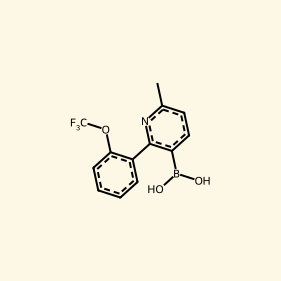 Cc1ccc(B(O)O)c(-c2ccccc2OC(F)(F)F)n1